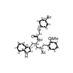 COc1ccccc1CN(C[C@@H](Cc1c[nH]c2ccccc12)NC(=O)COc1ccc(C(C)=O)cc1)C(C)=O